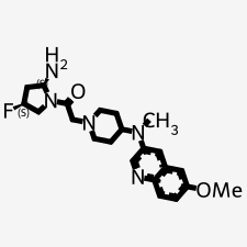 COc1ccc2ncc(N(C)C3CCN(CC(=O)N4C[C@@H](F)C[C@H]4N)CC3)cc2c1